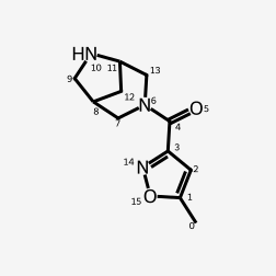 Cc1cc(C(=O)N2CC3CNC(C3)C2)no1